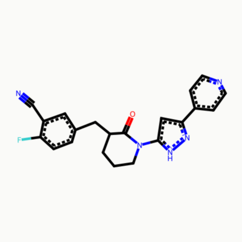 N#Cc1cc(CC2CCCN(c3cc(-c4ccncc4)n[nH]3)C2=O)ccc1F